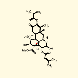 COC(=O)[C@@]12OC[C@]34C([C@@H](O)[C@@H]1O)[C@@]1(C)CC(=O)C(OC(=O)[C@H](C)N)=C(C)[C@@H]1C[C@H]3OC(O)[C@H](OC(=O)C=C(C)C)[C@@H]24